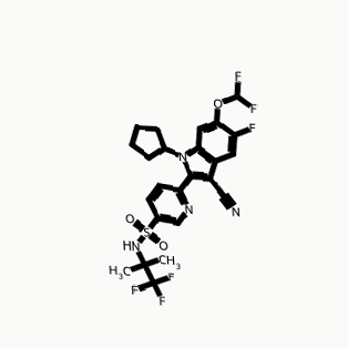 CC(C)(NS(=O)(=O)c1ccc(-c2c(C#N)c3cc(F)c(OC(F)F)cc3n2C2CCCC2)nc1)C(F)(F)F